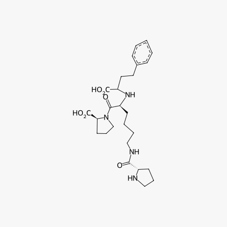 O=C(O)C(CCc1ccccc1)N[C@@H](CCCCNC(=O)[C@@H]1CCCN1)C(=O)N1CCC[C@H]1C(=O)O